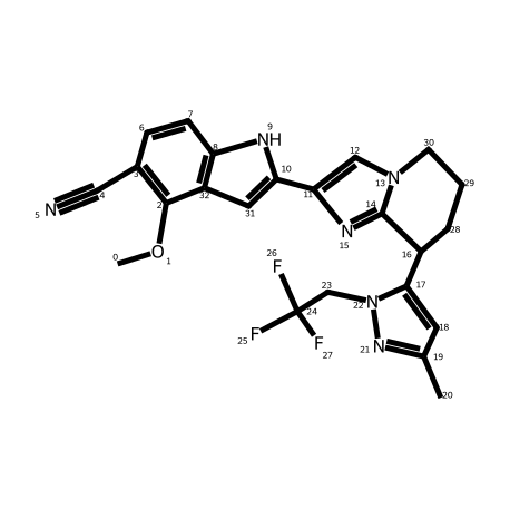 COc1c(C#N)ccc2[nH]c(-c3cn4c(n3)C(c3cc(C)nn3CC(F)(F)F)CCC4)cc12